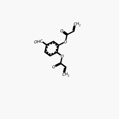 C=CC(=O)Oc1ccc(C=O)cc1OC(=O)C=C